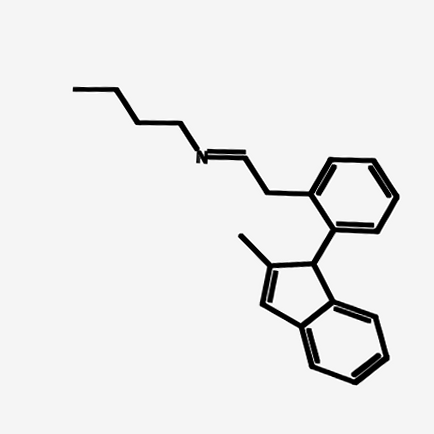 CCCCN=CCc1ccccc1C1C(C)=Cc2ccccc21